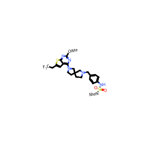 CNS(=O)(=O)Nc1ccc(CN2CCC3(CCN(c4nc(OC)nc5sc(CC(F)(F)F)cc45)C3)C2)cc1